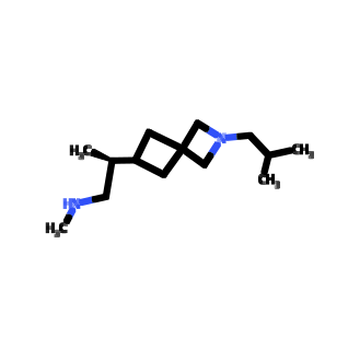 CNC[C@@H](C)C1CC2(C1)CN(CC(C)C)C2